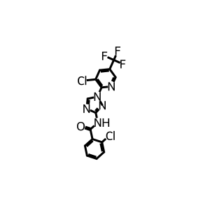 O=C(Nc1ncn(-c2ncc(C(F)(F)F)cc2Cl)n1)c1ccccc1Cl